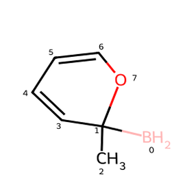 BC1(C)C=CC=CO1